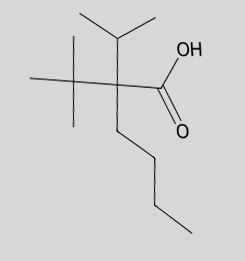 CCCCC(C(=O)O)(C(C)C)C(C)(C)C